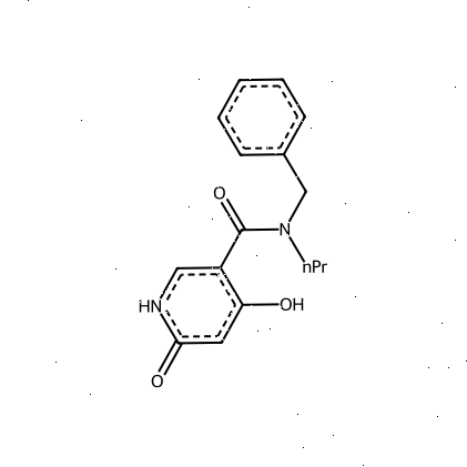 CCCN(Cc1ccccc1)C(=O)c1c[nH]c(=O)cc1O